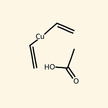 C=[CH][Cu][CH]=C.CC(=O)O